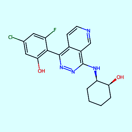 Oc1cc(Cl)cc(F)c1-c1nnc(N[C@@H]2CCCC[C@@H]2O)c2cnccc12